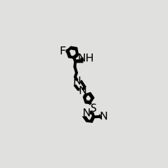 N#Cc1cccnc1Sc1ccc(N2CCN(CCCc3c[nH]c4ccc(F)cc34)CC2)cc1